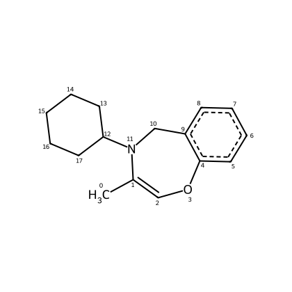 CC1=COc2ccccc2CN1C1CCCCC1